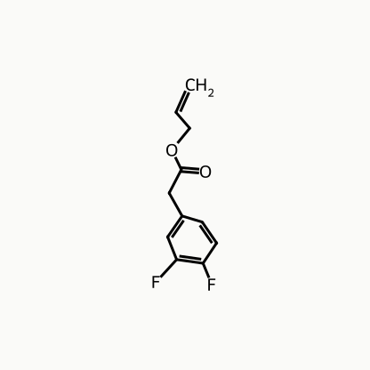 C=CCOC(=O)Cc1ccc(F)c(F)c1